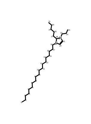 CCCCCCCCCCCCCCCCCCCN1C=CN(CCC)C1CCCCC